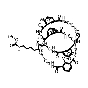 COc1c2cccc1C(=O)NCCN1CCNC(=O)c3cccc(c3OC)C(=O)NCCN(CCNC2=O)CCN2CCNC(=O)c3cccc(c3OC)C(=O)NCCN(CCNC(=O)c3cccc(c3OC)C(=O)NCC2)C(CCCCNC(=O)OC(C)(C)C)C1